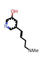 CNCC/C=C/c1cncc(O)c1